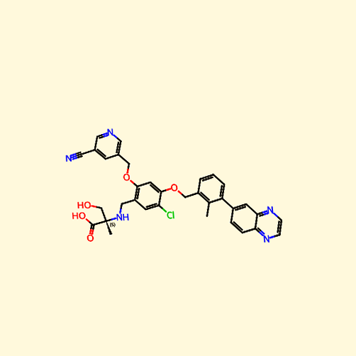 Cc1c(COc2cc(OCc3cncc(C#N)c3)c(CN[C@@](C)(CO)C(=O)O)cc2Cl)cccc1-c1ccc2nccnc2c1